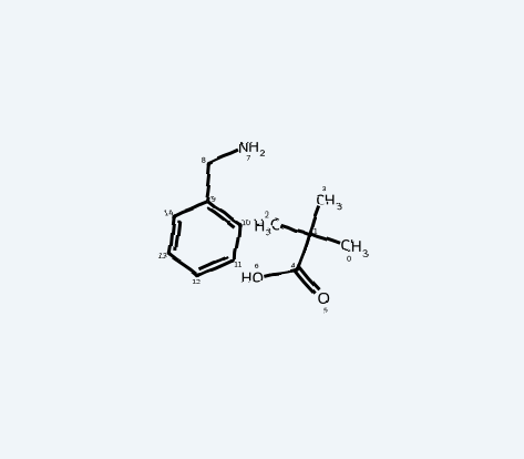 CC(C)(C)C(=O)O.NCc1ccccc1